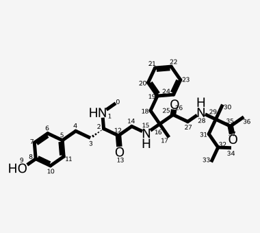 CN[C@@H](CCc1ccc(O)cc1)C(=O)CNC(C)(Cc1ccccc1)C(=O)CNC(C)(CC(C)C)C(C)=O